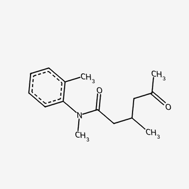 CC(=O)CC(C)CC(=O)N(C)c1ccccc1C